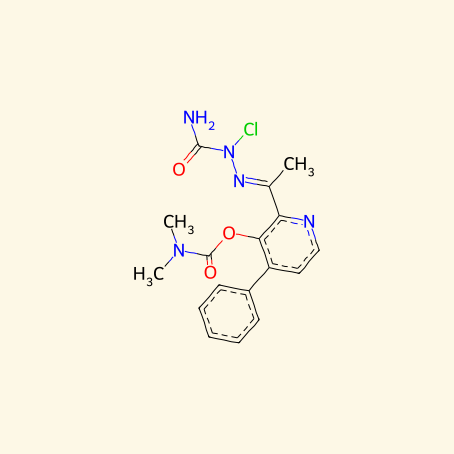 CC(=NN(Cl)C(N)=O)c1nccc(-c2ccccc2)c1OC(=O)N(C)C